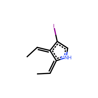 C/C=c1/[nH]cc(I)/c1=C/C